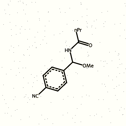 CCCC(=O)NC(OC)c1ccc(C#N)cc1